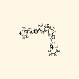 c1cc2sc3ccc(OCCCN4CCCCC4)cc3c2cc1OCCCN1CCCCC1